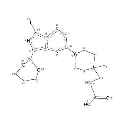 CC1(CNC(=O)O)CCN(c2cnc3c(I)nn(C4CCCCO4)c3n2)CC1